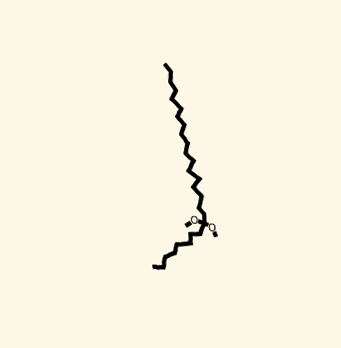 CCCCCCCCCCCCCCCCCCC(CCCCCCCC)(OC)OC